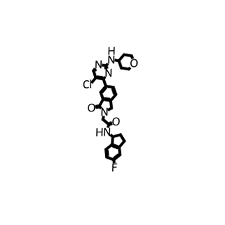 O=C(CN1Cc2ccc(-c3nc(NC4CCOCC4)ncc3Cl)cc2C1=O)NC1CCc2cc(F)ccc21